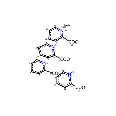 O=C([O-])c1ccccn1.O=C([O-])c1ccccn1.O=C([O-])c1ccccn1.O=C([O-])c1ccccn1.[Ir+4]